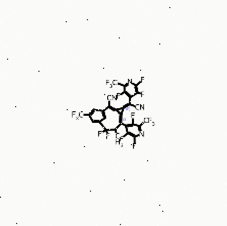 CC1/C(c2c(F)c(F)nc(C(F)(F)F)c2F)=C2\C(=C(C#N)c3cc(C(F)(F)F)cc(c3)C1(F)F)\C2=C(\C#N)c1c(F)c(F)nc(C(F)(F)F)c1F